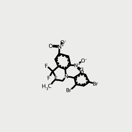 CCCN(c1c(Cl)cc(Br)cc1Br)c1c([N+](=O)[O-])cc([N+](=O)[O-])cc1C(F)(F)F